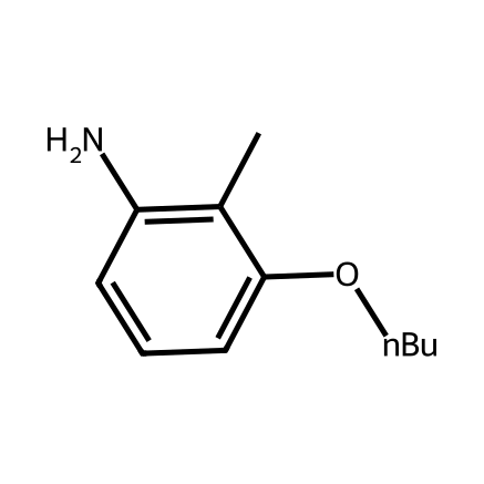 CCCCOc1cccc(N)c1C